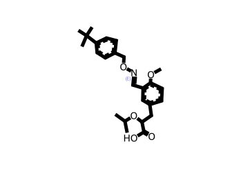 COc1ccc(CC(OC(C)C)C(=O)O)cc1/C=N/OCc1ccc(C(C)(C)C)cc1